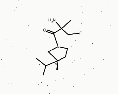 CC(C)[C@@]1(C)CCN(C(=O)C(C)(N)CF)C1